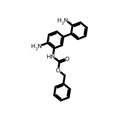 Nc1ccc(-c2ccccc2N)cc1NC(=O)OCc1ccccc1